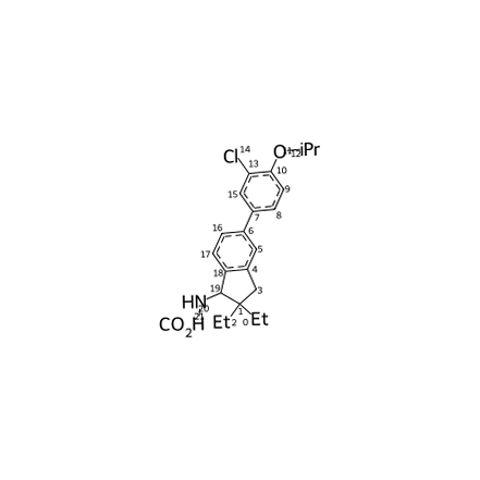 CCC1(CC)Cc2cc(-c3ccc(OC(C)C)c(Cl)c3)ccc2C1NC(=O)O